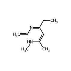 C=C/N=C(\C=C(\C)NC)CC